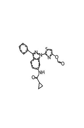 O=COc1csc(-n2nc(-c3ccccc3)c3ccc(NC(=O)C4CC4)cc32)n1